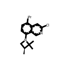 CC(C)c1ccc(N2C[C@H](C)C2(C)C)c2cnc(Cl)cc12